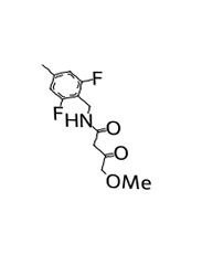 COCC(=O)CC(=O)NCc1c(F)cc(C)cc1F